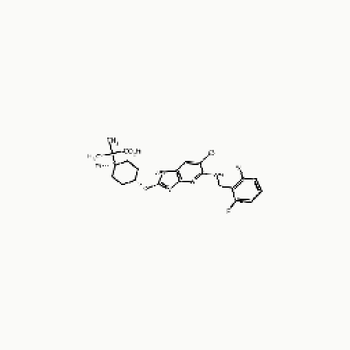 CCc1cccc(F)c1CNc1nc2nc(O[C@H]3CC[C@](CC)(C(C)(C)C(=O)O)CC3)[nH]c2cc1Cl